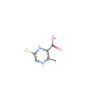 Cc1ncc(S)nc1C(=O)O